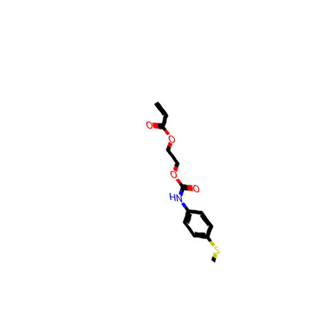 C=CC(=O)OCCOC(=O)Nc1ccc(SC)cc1